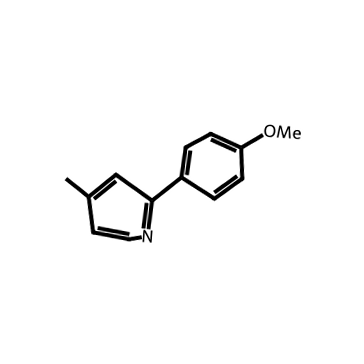 COc1ccc(-c2cc(C)ccn2)cc1